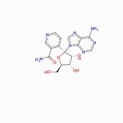 NC(=O)c1cnccc1[C@@]1(n2cnc3c(N)ncnc32)O[C@H](CO)[C@@H](O)[C@H]1O